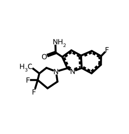 CC1CN(c2nc3ccc(F)cc3cc2C(N)=O)CCC1(F)F